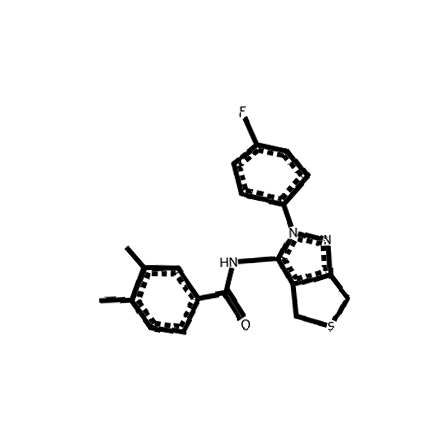 Cc1ccc(C(=O)Nc2c3c(nn2-c2ccc(F)cc2)CSC3)cc1C